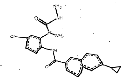 NNC(=O)N(N)c1cc(Cl)ccc1NC(=O)c1ccc2cc(C3CC3)ccc2c1